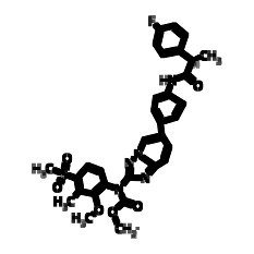 [CH2]OC(=O)N(c1nc2ccc(-c3ccc(NC(=O)[C@H](C)c4ccc(F)cc4)cc3)cn2n1)c1ccc(S(C)(=O)=O)c(C)c1OC